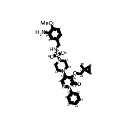 COc1ccc(CNS(=O)(=O)N2CCN(c3cnn(-c4ccccc4)c(=O)c3OCC3(C)CC3)CC2)cc1N